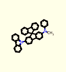 CN(c1ccccc1)c1ccc2c(c1)C1(c3ccccc3-c3ccccc31)c1cc(-n3c4ccccc4c4ccccc43)ccc1-2